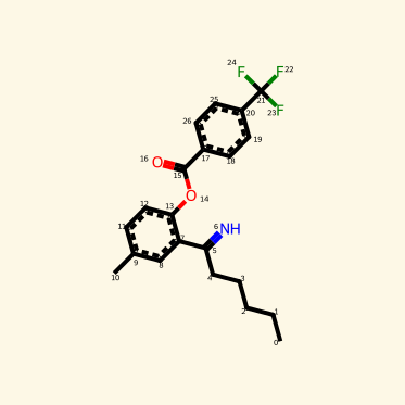 CCCCCC(=N)c1cc(C)ccc1OC(=O)c1ccc(C(F)(F)F)cc1